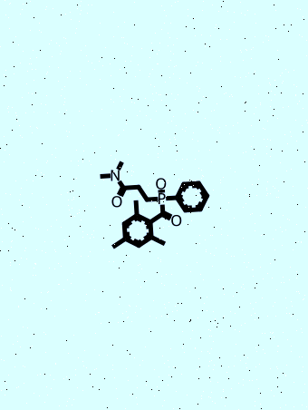 Cc1cc(C)c(C(=O)P(=O)(CCC(=O)N(C)C)c2ccccc2)c(C)c1